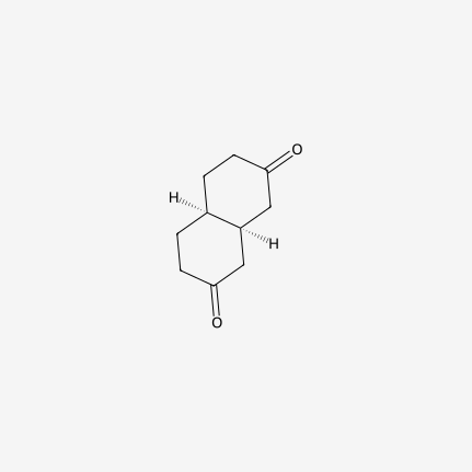 O=C1CC[C@H]2CCC(=O)C[C@H]2C1